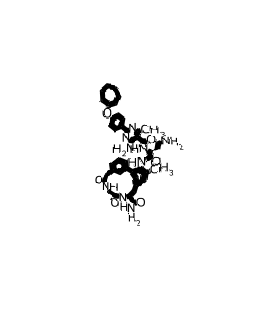 Cc1cc2cc(c1NC(=O)[C@H](CCN)NC(=O)c1c(C)nc(-c3ccc(OC4CCCCCC4)cc3)nc1N)-c1cccc(c1)CC(=O)NCC(=O)NC(C(N)=O)C2